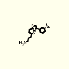 CN(C)c1cccc(-c2cnc3ccc(CCCN)nn23)c1